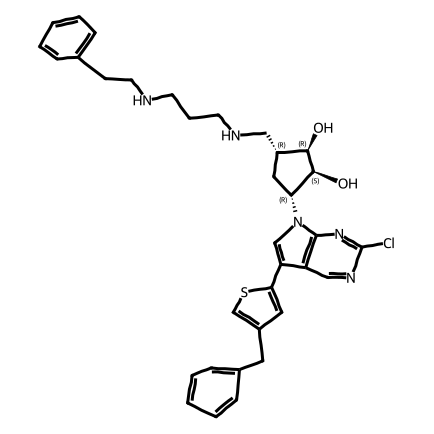 O[C@@H]1[C@@H](CNCCCNCCc2ccccc2)C[C@@H](n2cc(-c3cc(Cc4ccccc4)cs3)c3cnc(Cl)nc32)[C@@H]1O